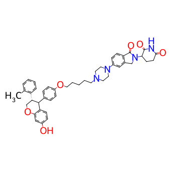 Cc1ccccc1[C@H]1COc2cc(O)ccc2C1c1ccc(OCCCCCN2CCN(c3ccc4c(c3)CN(C3CCC(=O)NC3=O)C4=O)CC2)cc1